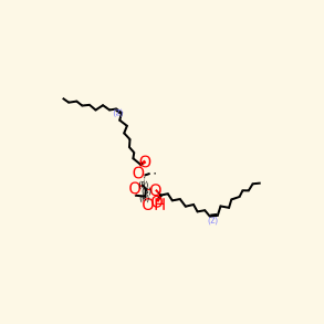 [CH2]C(OC(=O)CCCCCCC/C=C\CCCCCCCC)[C@H]1OC[C@@H](O)[C@@H]1OC(=O)CCCCCCC/C=C\CCCCCCCC